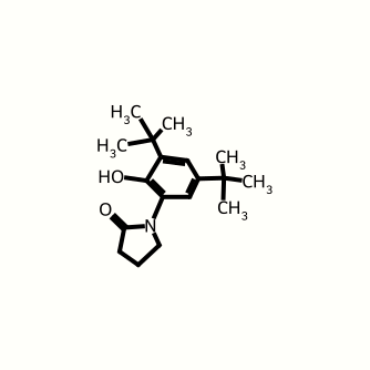 CC(C)(C)c1cc(N2CCCC2=O)c(O)c(C(C)(C)C)c1